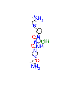 CC(C)(N)CC(=O)N1CCN(C(=O)Nc2ccn(-c3cccc(CN4CCC(C)(N)CC4)c3)c(=O)n2)CC1.Cl